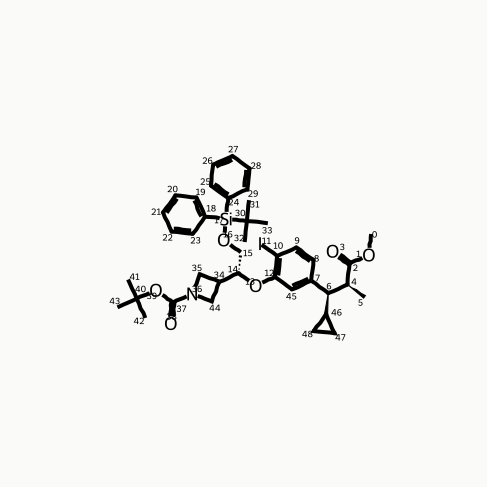 COC(=O)[C@@H](C)[C@H](c1ccc(I)c(O[C@@H](CO[Si](c2ccccc2)(c2ccccc2)C(C)(C)C)C2CN(C(=O)OC(C)(C)C)C2)c1)C1CC1